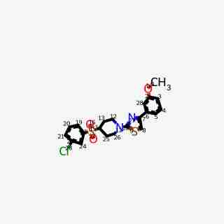 COc1cccc(-c2csc(N3CCC(S(=O)(=O)c4cccc(Cl)c4)CC3)n2)c1